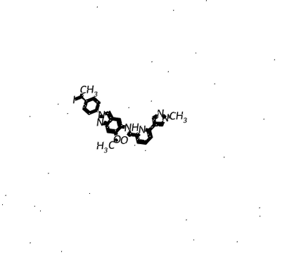 COc1cc2nn([C@H]3CC[C@H](C(C)I)CC3)cc2cc1NC(=O)c1cccc(-c2cnn(C)c2)n1